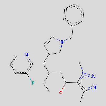 Cc1nnn(C)c1C1CC(C(c2ncccc2F)C2C=CN(Cc3ccccc3)C2)CCO1